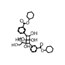 O=C(OC1CCCCC1)c1cccc(C2C(O)[C@@]3(O)C(c4cccc(C(=O)OC5CCCCC5)c4)[C@@](O)([C@H](O)CO)[C@@]23O)c1